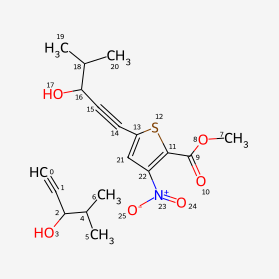 C#CC(O)C(C)C.COC(=O)c1sc(C#CC(O)C(C)C)cc1[N+](=O)[O-]